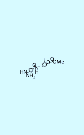 COC(=O)COc1ccc(CCNC(=O)c2ccc(C(=N)N)cc2)cc1I